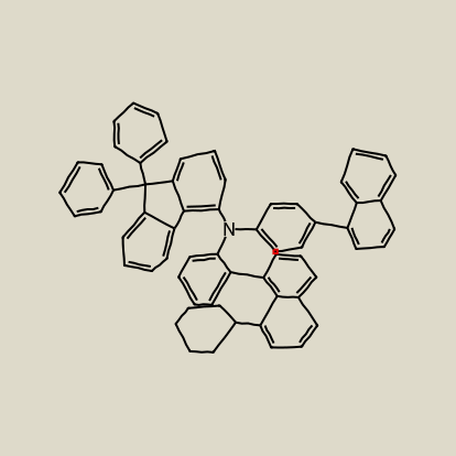 c1ccc(C2(c3ccccc3)c3ccccc3-c3c(N(c4ccc(-c5cccc6ccccc56)cc4)c4ccccc4-c4cccc5cccc(C6CCCCC6)c45)cccc32)cc1